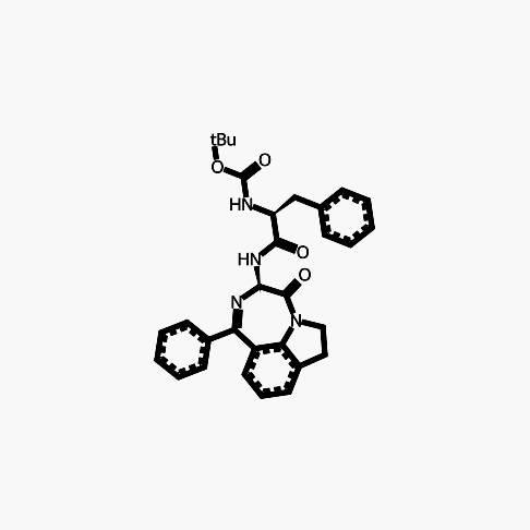 CC(C)(C)OC(=O)N[C@@H](Cc1ccccc1)C(=O)N[C@@H]1N=C(c2ccccc2)c2cccc3c2N(CC3)C1=O